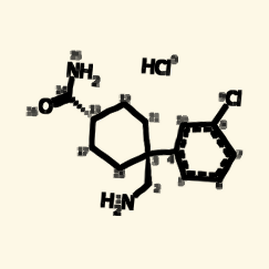 Cl.NC[C@]1(c2cccc(Cl)c2)CC[C@@H](C(N)=O)CC1